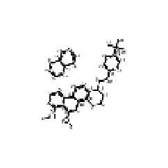 COc1cccc2c1c(OC)cc1c3c(ccc12)C(CCc1ccc(C(C)(C)C)cc1)CCC3.c1ccc2cnccc2c1